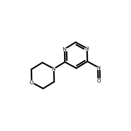 O=Nc1cc(N2CCOCC2)ncn1